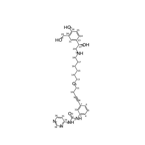 O=C(Nc1cccc(C#CCCOCCCCCCNC[C@H](O)c2ccc(O)c(CO)c2)c1)Nc1ccncn1